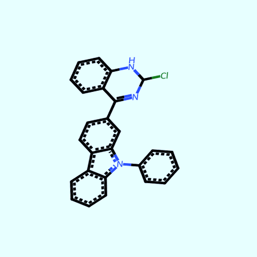 ClC1N=C(c2ccc3c4ccccc4n(-c4ccccc4)c3c2)c2ccccc2N1